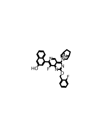 Oc1cc(-c2ncc3c(N4CC5CCC(C4)N5)nc(OCc4ccccc4F)nc3c2F)c2ccccc2c1